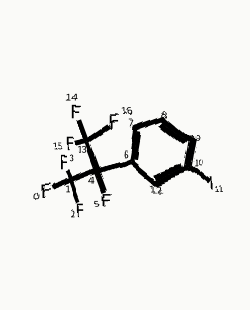 FC(F)(F)C(F)(c1cc[c]c(I)c1)C(F)(F)F